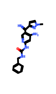 Cn1ccc(C(=N)c2cnc(NC(=O)NCc3ccccc3)cc2N)n1